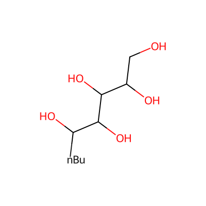 CCCCC(O)C(O)C(O)C(O)CO